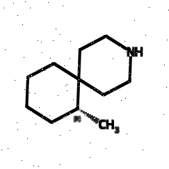 C[C@@H]1CCCCC12CCNCC2